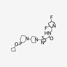 O=C(NCc1ncc(F)cc1F)c1cnc(N2CCC(N3CCC[C@H](COC4CCC4)C3)CC2)s1